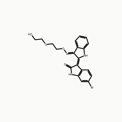 O=C1Nc2cc(Br)ccc2C1=C1Nc2ccccc2C1=NOCCOCCO